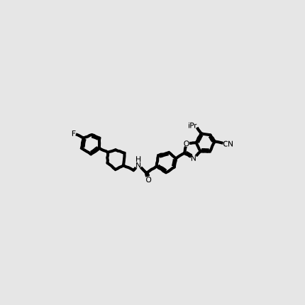 CC(C)c1cc(C#N)cc2nc(-c3ccc(C(=O)NCC4CCC(c5ccc(F)cc5)CC4)cc3)oc12